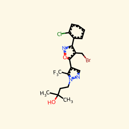 CC(C)(O)CCn1ncc(-c2onc(-c3ccccc3Cl)c2CBr)c1C(F)(F)F